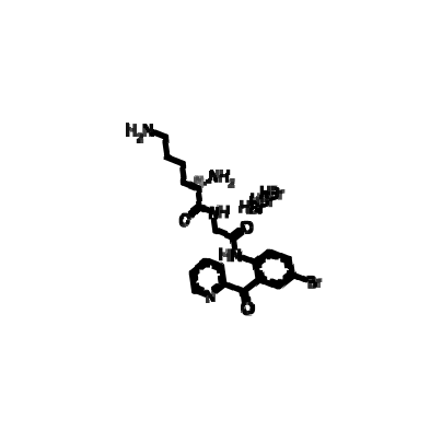 Br.Br.Br.NCCCC[C@H](N)C(=O)NCC(=O)Nc1ccc(Br)cc1C(=O)c1ccccn1